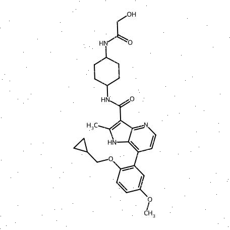 COc1ccc(OCC2CC2)c(-c2ccnc3c(C(=O)NC4CCC(NC(=O)CO)CC4)c(C)[nH]c23)c1